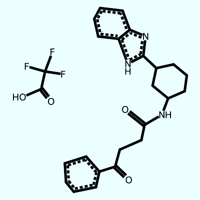 O=C(CCC(=O)c1ccccc1)NC1CCCC(c2nc3ccccc3[nH]2)C1.O=C(O)C(F)(F)F